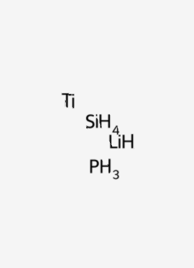 P.[LiH].[SiH4].[Ti]